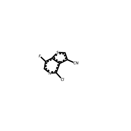 N#Cc1csc2c(F)cnc(Cl)c12